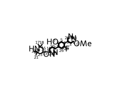 COc1cc(-c2cc(O)c(-c3ccc(OC4CC(C)(C)NC(C)(C)C4)nn3)cc2F)cnn1